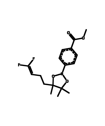 COC(=O)c1ccc(B2OC(C)(C)C(C)(CCC=C(F)F)O2)cc1